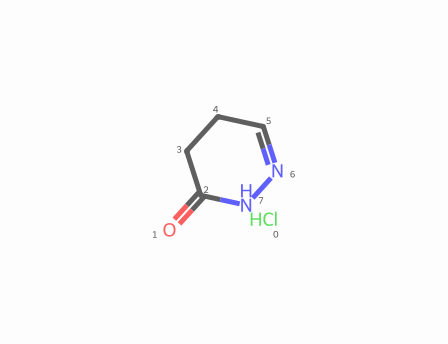 Cl.O=C1CCC=NN1